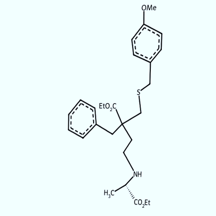 CCOC(=O)[C@H](C)NCCC(CSCc1ccc(OC)cc1)(Cc1ccccc1)C(=O)OCC